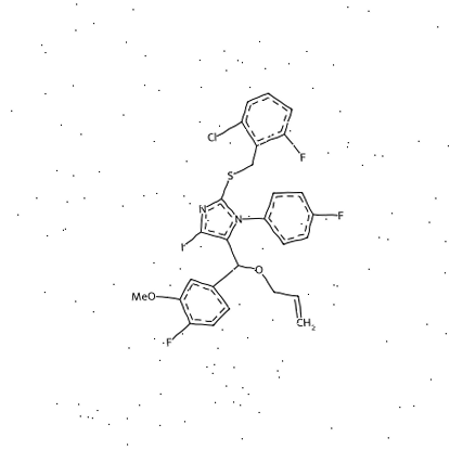 C=CCOC(c1ccc(F)c(OC)c1)c1c(I)nc(SCc2c(F)cccc2Cl)n1-c1ccc(F)cc1